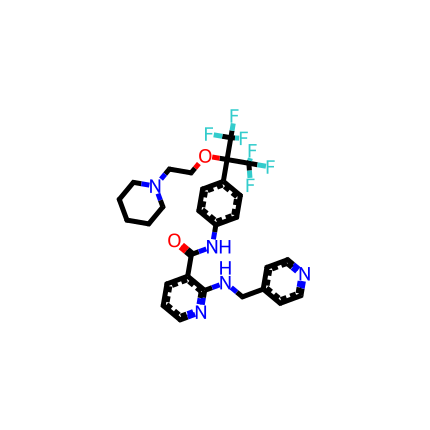 O=C(Nc1ccc(C(OCCN2CCCCC2)(C(F)(F)F)C(F)(F)F)cc1)c1cccnc1NCc1ccncc1